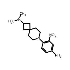 CN(C)C1CC2(CCN(c3ccc(N)cc3[N+](=O)[O-])CC2)C1